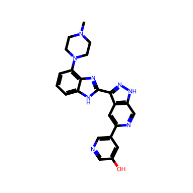 CN1CCN(c2cccc3[nH]c(-c4n[nH]c5cnc(-c6cncc(O)c6)cc45)nc23)CC1